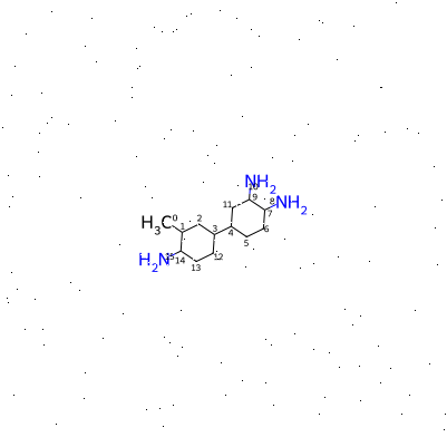 CC1CC(C2CCC(N)C(N)C2)CCC1N